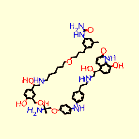 CC(C)(N)COc1ccc(Nc2ccc(CCNCC(O)c3ccc(O)c4[nH]c(=O)ccc34)cc2)cc1.Cc1cc(CCCCOCCCCCCNCC(O)c2ccc(O)c(CO)c2)cc(NC(N)=O)c1